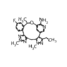 CCc1nn(C)c2c1-c1cnc(N)c(c1)OC(C)c1cc(F)ccc1-c1nn(C)nc1C2